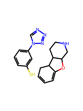 C1=CCC2C(=C1)OC1CNCCC12.Sc1cccc(-n2cnnn2)c1